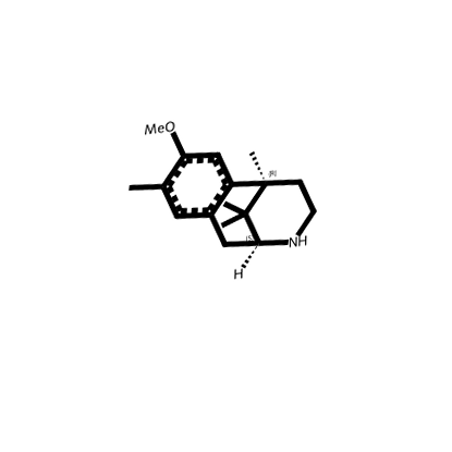 COc1cc2c(cc1C)C[C@@H]1NCC[C@@]2(C)C1(C)C